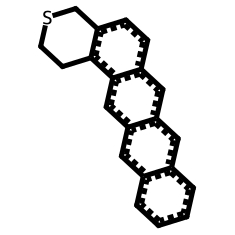 c1ccc2cc3cc4c5c(ccc4cc3cc2c1)CSCC5